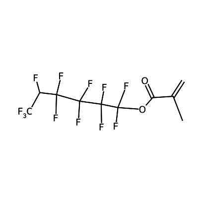 C=C(C)C(=O)OC(F)(F)C(F)(F)C(F)(F)C(F)(F)C(F)C(F)(F)F